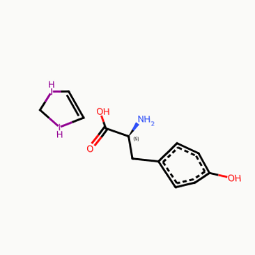 C1=C[IH]C[IH]1.N[C@@H](Cc1ccc(O)cc1)C(=O)O